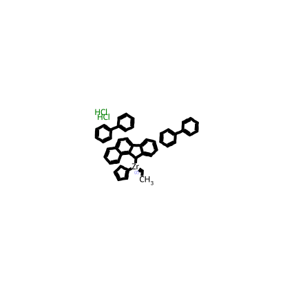 C/[CH]=[Zr](\[C]1=CC=CC1)[CH]1c2ccccc2-c2ccc3ccccc3c21.Cl.Cl.c1ccc(-c2ccccc2)cc1.c1ccc(-c2ccccc2)cc1